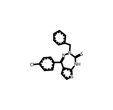 S=C1Nc2sccc2C(c2ccc(Cl)cc2)=NN1Cc1ccccc1